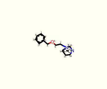 c1ccc(COCCN2CCN3CCC2CC3)cc1